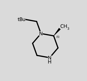 C[C@H]1CNCCN1CC(C)(C)C